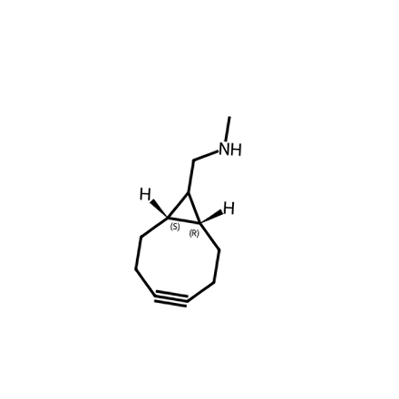 CNCC1[C@H]2CCC#CCC[C@@H]12